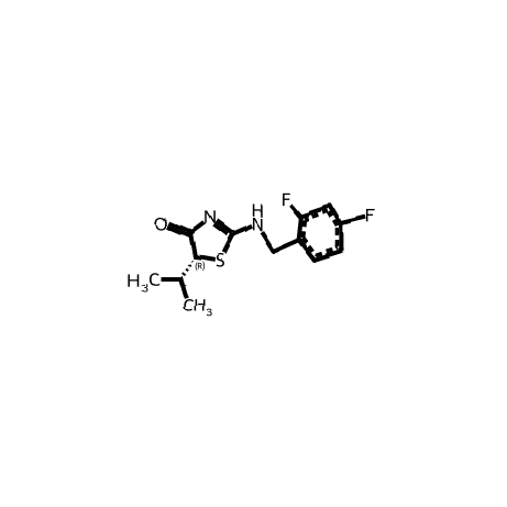 CC(C)[C@H]1SC(NCc2ccc(F)cc2F)=NC1=O